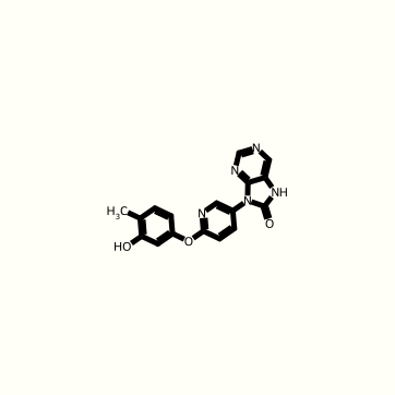 Cc1ccc(Oc2ccc(-n3c(=O)[nH]c4cncnc43)cn2)cc1O